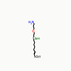 Br.CCCCCCCCC=CCCCCCCCCOCCCN